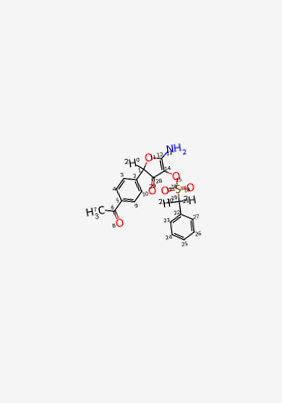 [2H]C1(c2ccc(C(C)=O)cc2)OC(N)=C(OS(=O)(=O)C([2H])([2H])c2ccccc2)C1=O